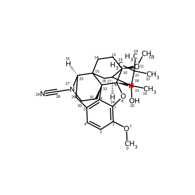 COc1ccc2c3c1O[C@H]1[C@@]4(OC)CCC5(C[C@@H]4C(C)(O)C(C)(C)C)[C@@H](C2)N(C#N)CC[C@]315